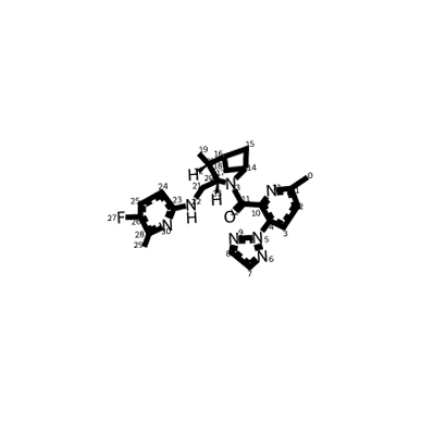 Cc1ccc(-n2nccn2)c(C(=O)N2C3CC(C3)[C@@H](C)[C@H]2CNc2ccc(F)c(C)n2)n1